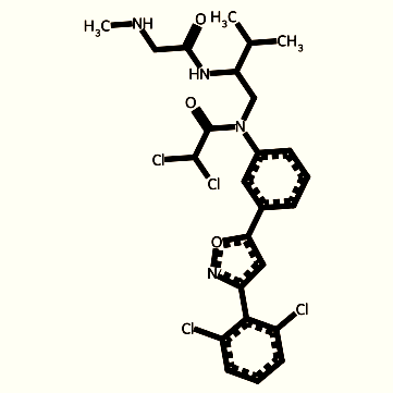 CNCC(=O)NC(CN(C(=O)C(Cl)Cl)c1cccc(-c2cc(-c3c(Cl)cccc3Cl)no2)c1)C(C)C